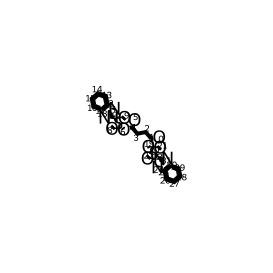 O=C(CCC(=O)OS(=O)(=O)n1nc2ccccc2n1)OS(=O)(=O)n1nc2ccccc2n1